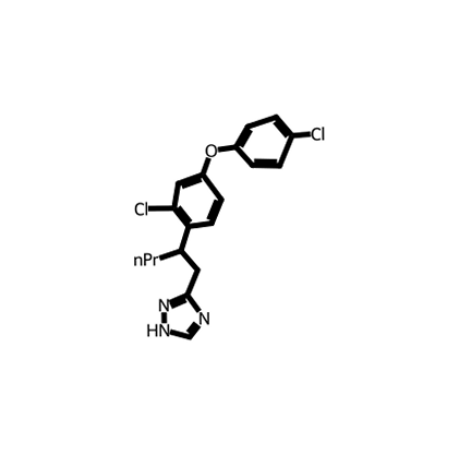 CCCC(Cc1nc[nH]n1)c1ccc(Oc2ccc(Cl)cc2)cc1Cl